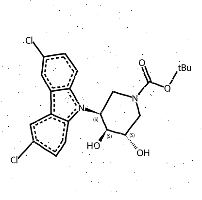 CC(C)(C)OC(=O)N1C[C@H](O)[C@@H](O)[C@@H](n2c3ccc(Cl)cc3c3cc(Cl)ccc32)C1